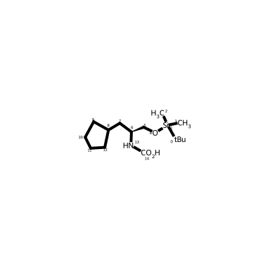 CC(C)(C)[Si](C)(C)OC[C@H](CC1CCCC1)NC(=O)O